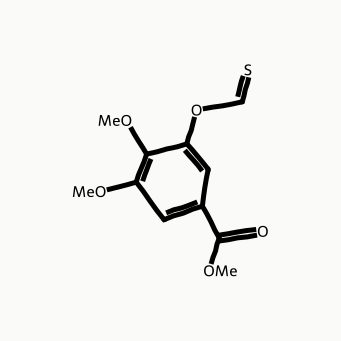 COC(=O)c1cc(OC)c(OC)c(OC=S)c1